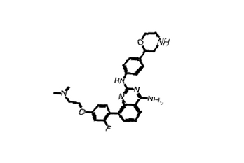 CN(C)CCOc1ccc(-c2cccc3c(N)nc(Nc4ccc(C5CNCCO5)cc4)nc23)c(F)c1